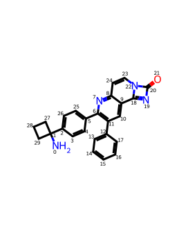 NC1(c2ccc(-c3nc4c(cc3-c3ccccc3)C3=NC(=O)N3C=C4)cc2)CCC1